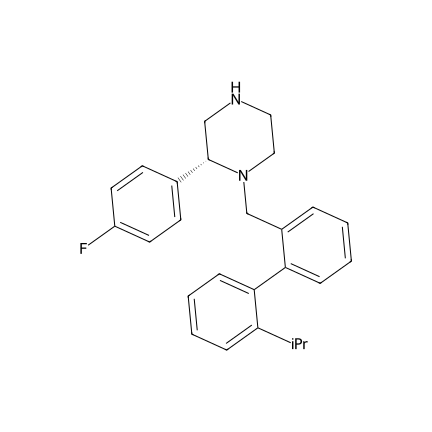 CC(C)c1ccccc1-c1ccccc1CN1CCNC[C@H]1c1ccc(F)cc1